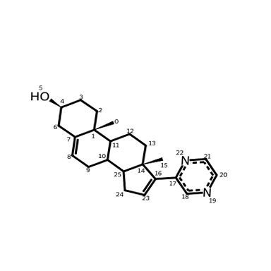 C[C@]12CC[C@H](O)CC1=CCC1C2CC[C@]2(C)C(c3cnccn3)=CCC12